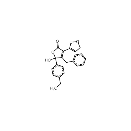 CCc1ccc(C2(O)OC(=O)C(C3=CCOO3)=C2Cc2ccccc2)cc1